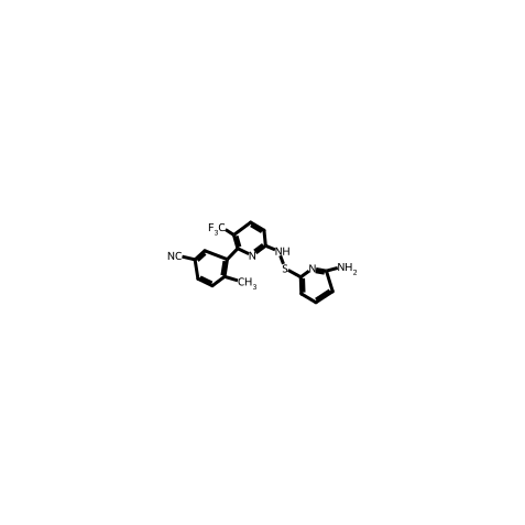 Cc1ccc(C#N)cc1-c1nc(NSc2cccc(N)n2)ccc1C(F)(F)F